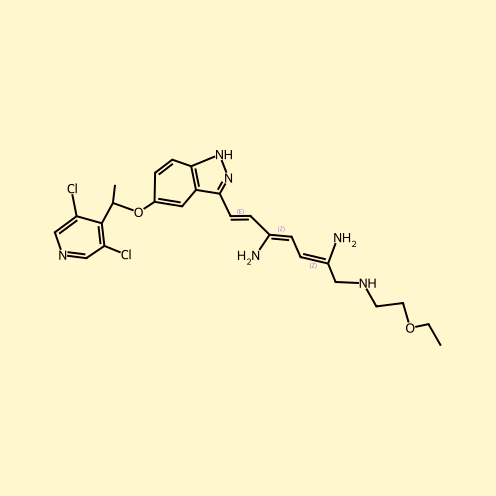 CCOCCNC/C(N)=C/C=C(N)/C=C/c1n[nH]c2ccc(OC(C)c3c(Cl)cncc3Cl)cc12